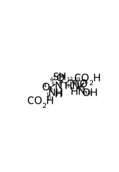 O=C(O)CNC(=O)[C@H](CS)NC(=O)CC[C@H](NC(=O)NO)C(=O)O